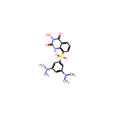 CN(C)c1cc(N(C)C)cc(S(=O)(=O)c2cccc3c(=O)n(O)c(=O)[nH]c23)c1